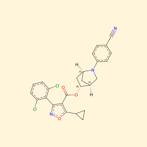 N#Cc1ccc(N2C[C@@H]3C[C@H]2C[C@H]3OC(=O)c2c(-c3c(Cl)cccc3Cl)noc2C2CC2)cc1